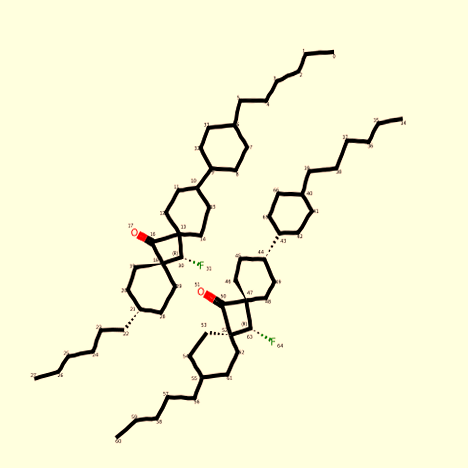 CCCCCCC1CCC(C2CCC3(CC2)C(=O)[C@]2(CC[C@@H](CCCCCC)CC2)[C@H]3F)CC1.CCCCCCC1CCC([C@H]2CC[C@]3(CC2)C(=O)[C@@]2(CCC(CCCCC)CC2)[C@H]3F)CC1